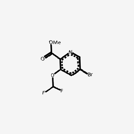 COC(=O)c1ncc(Br)cc1OC(F)F